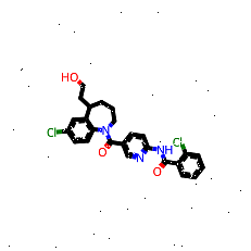 O=C(Nc1ccc(C(=O)N2CCCC(CCO)c3cc(Cl)ccc32)cn1)c1ccccc1Cl